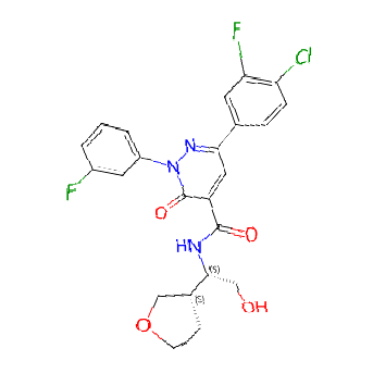 O=C(N[C@H](CO)[C@@H]1CCOC1)c1cc(-c2ccc(Cl)c(F)c2)nn(-c2cccc(F)c2)c1=O